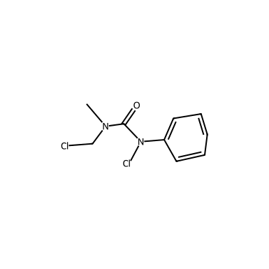 CN(CCl)C(=O)N(Cl)c1ccccc1